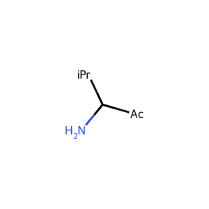 [C]C(=O)C(N)C(C)C